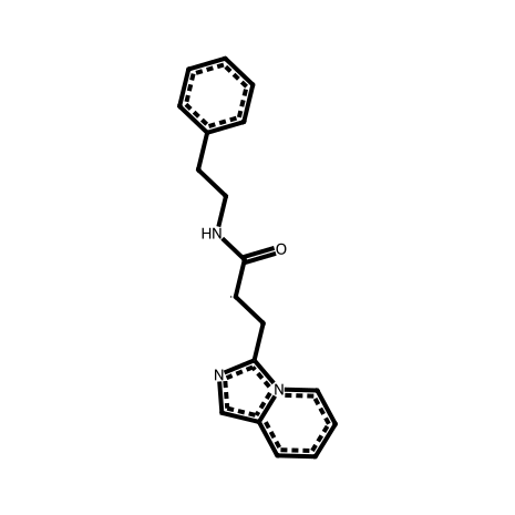 O=C([CH]Cc1ncc2ccccn12)NCCc1ccccc1